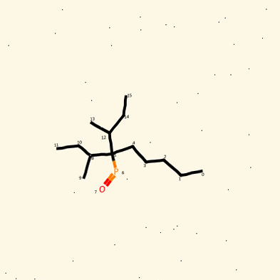 CCCCCC(P=O)(C(C)CC)C(C)CC